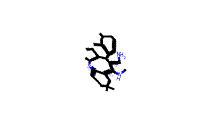 CC/C1=C(C)/N=C2/CCC(C)(C)C/C2=C(NC)/C(=C/N)C1C1=C(C)C(C)CC=C1